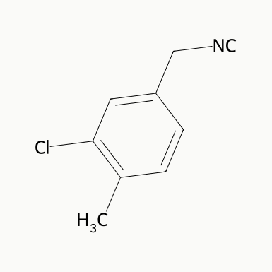 [C-]#[N+]Cc1ccc(C)c(Cl)c1